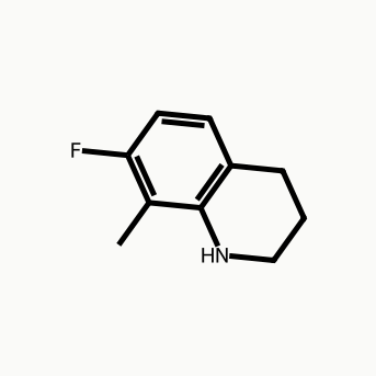 Cc1c(F)ccc2c1NCCC2